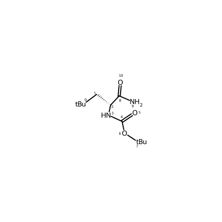 CC(C)(C)C[C@@H](NC(=O)OC(C)(C)C)C(N)=O